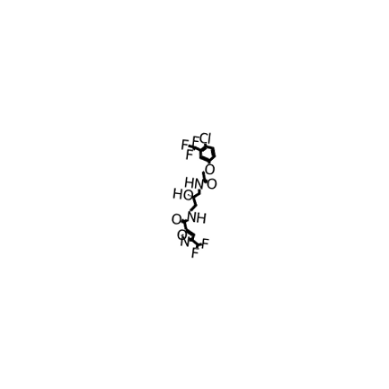 O=C(COc1ccc(Cl)c(C(F)(F)F)c1)NC[C@@H](O)CCNC(=O)c1cc(C(F)F)no1